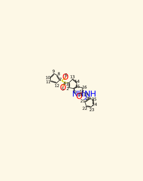 Nc1cc(S(=O)(=O)c2ccccc2)ccc1CC(=O)Nc1ccccc1